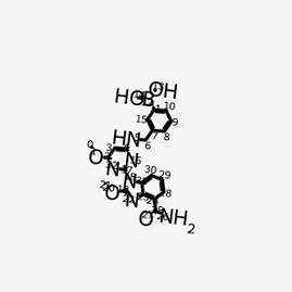 COc1cc(NCc2cccc(B(O)O)c2)nc(-n2c(OC)nc3c(C(N)=O)cccc32)n1